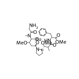 CCC(C)C(C(CC(=O)N1CCC[C@H]1C(OC)C(C)C(=O)NC(Cc1ccccc1)C(=O)OC)OC)N(C)C(=O)CN